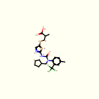 Cc1ccc(N(CC2CCCC2)C(=O)Nc2ncc(SCC(C)C(=O)O)s2)c(C(F)(F)F)c1